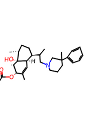 CC(=O)O[C@@H]1[CH][C@@]2(O)[C@H](C)CC[C@@H](C(C)CN3CCCC(C)(c4ccccc4)C3)[C@H]2C=C1C